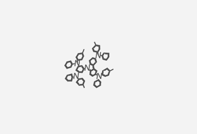 Cc1ccc(N(c2ccccc2)c2cc(N(c3ccccc3)c3ccc(C)cc3)cc(-n3c4ccc(N(c5ccccc5)c5ccc(C)cc5)cc4c4cc(N(c5ccccc5)c5ccc(C)cc5)ccc43)c2)cc1